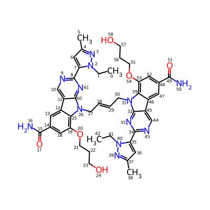 CCn1nc(C)cc1-c1ncc2c3cc(C(N)=O)cc(OCCCO)c3n(C/C=C/Cn3c4nc(-c5cc(C)nn5CC)ncc4c4cc(C(N)=O)cc(OCCCO)c43)c2n1